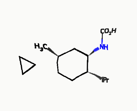 C1CC1.CC(C)[C@@H]1CC[C@H](C)C[C@@H]1NC(=O)O